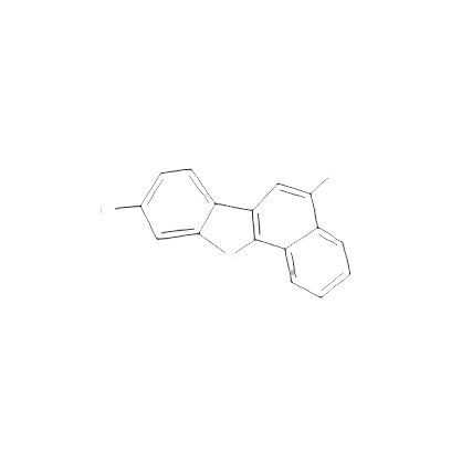 Clc1cc2c3ccc(Br)cc3sc2c2ccccc12